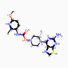 COc1ccc(NC(=O)ON2CCN(c3nc(N)nc4scnc34)[C@@H](C)C2)c(C)n1